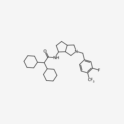 O=C(NC1CCC2CN(Cc3ccc(C(F)(F)F)c(F)c3)CC21)C(C1CCCCC1)C1CCCCC1